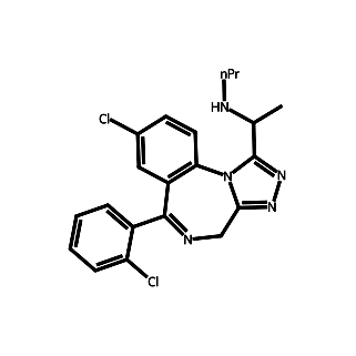 CCCNC(C)c1nnc2n1-c1ccc(Cl)cc1C(c1ccccc1Cl)=NC2